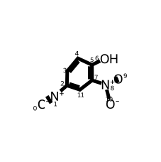 [C-]#[N+]c1ccc(O)c([N+](=O)[O-])c1